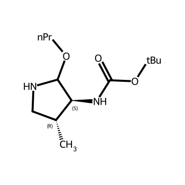 CCCOC1NC[C@@H](C)[C@@H]1NC(=O)OC(C)(C)C